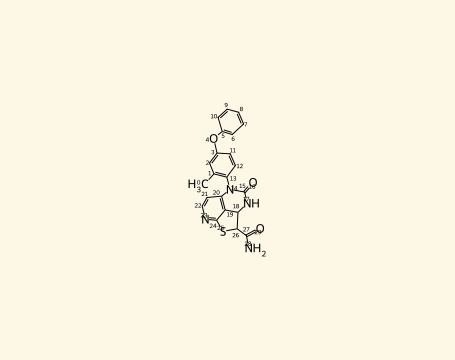 Cc1cc(Oc2ccccc2)ccc1N1C(=O)NC2c3c1ccnc3SC2C(N)=O